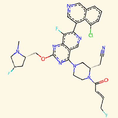 CN1C[C@H](F)C[C@H]1COc1nc(N2CCN(C(=O)/C=C/CF)[C@@H](CC#N)C2)c2cnc(-c3cncc4cccc(Cl)c34)c(F)c2n1